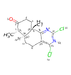 C[C@@H]1C(=O)CC[C@]2(C)c3nc(Cl)nc(Cl)c3CC[C@@H]12